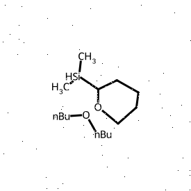 CCCCOCCCC.C[SiH](C)C1CCCCO1